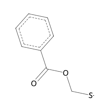 O=C(OC[S])c1ccccc1